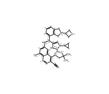 CC(C)(C)CNc1c(C#N)cnc2c(Cl)cc(N[C@H](C3=CN(C4CC4)NN3)c3cccc4c3CN(C3COC3)C4)cc12